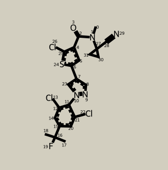 CN(C(=O)c1cc(-c2cnn(-c3c(Cl)cc(C(C)(C)F)cc3Cl)c2)sc1Cl)C1(C#N)CC1